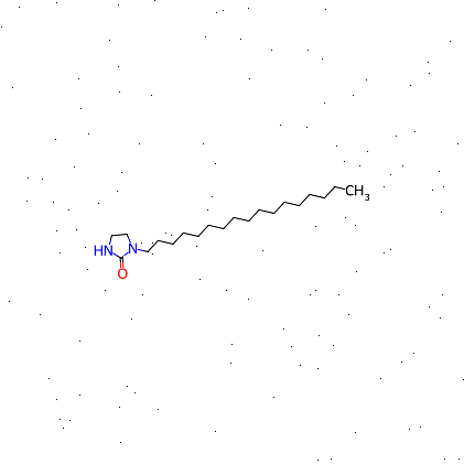 CCCCCCCCCCCCCCCCCN1CCNC1=O